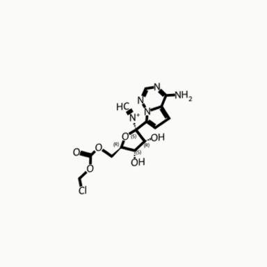 C#[N+][C@@]1(c2ccc3c(N)ncnn23)O[C@H](COC(=O)OCCl)[C@@H](O)[C@H]1O